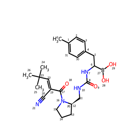 Cc1ccc(CC(NC(=O)NC[C@H]2CCCN2C(=O)C(C#N)=CC(C)(C)C)B(O)O)cc1